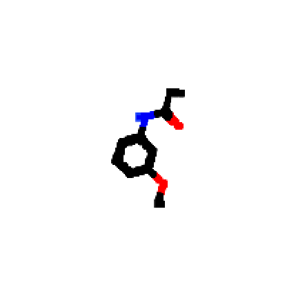 CCOc1c[c]cc(NC(=O)OCC(C)C)c1